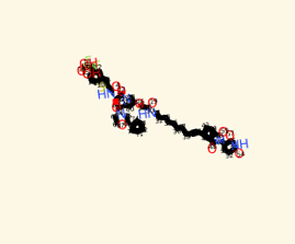 CC(C)(C)[C@H](NC(=O)c1cc2cc(C(F)(F)P(=O)(O)O)ccc2s1)C(=O)N1C[C@@H](OCC(=O)NCCCCCCCCC#Cc2ccc3c(c2)C(=O)N(C2CCC(=O)NC2=O)C3=O)C[C@H]1C(=O)N1CCO[C@H](c2ccccc2)C1